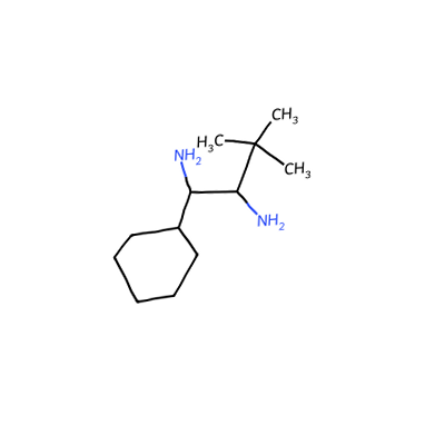 CC(C)(C)C(N)C(N)C1CCCCC1